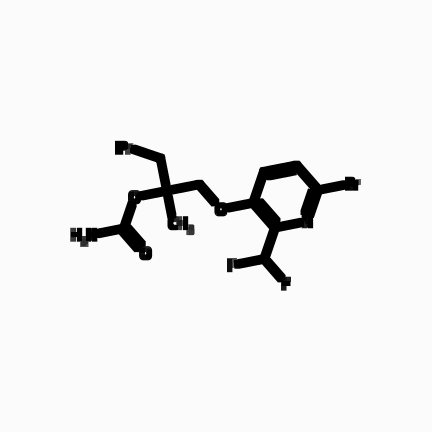 CC(C)CC(C)(COc1ccc(Br)nc1C(F)F)OC(N)=O